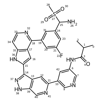 CC(C)C(=O)Nc1cncc(-c2cc3c(-c4cc5c(-c6cc(F)cc(C(N)S(C)(=O)=O)c6)nccc5[nH]4)n[nH]c3cn2)c1